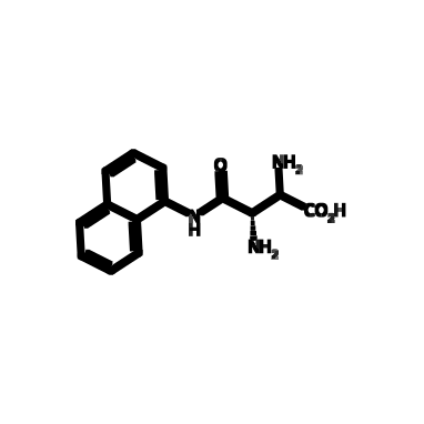 NC(C(=O)O)[C@H](N)C(=O)Nc1cccc2ccccc12